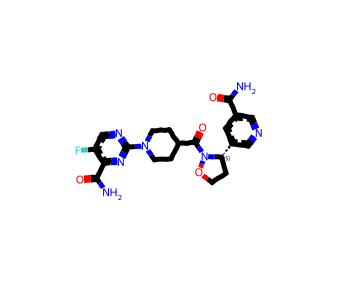 NC(=O)c1cncc([C@@H]2CCON2C(=O)C2CCN(c3ncc(F)c(C(N)=O)n3)CC2)c1